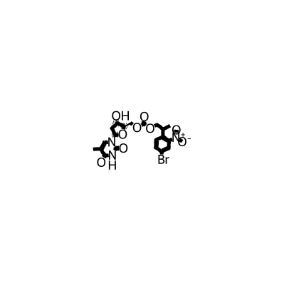 Cc1cn([C@H]2C[C@H](O)[C@@H](COC(=O)OCC(C)c3ccc(Br)cc3[N+](=O)[O-])O2)c(=O)[nH]c1=O